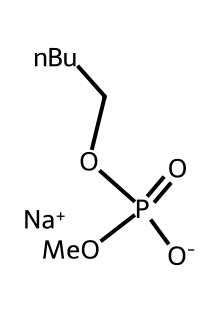 CCCCCOP(=O)([O-])OC.[Na+]